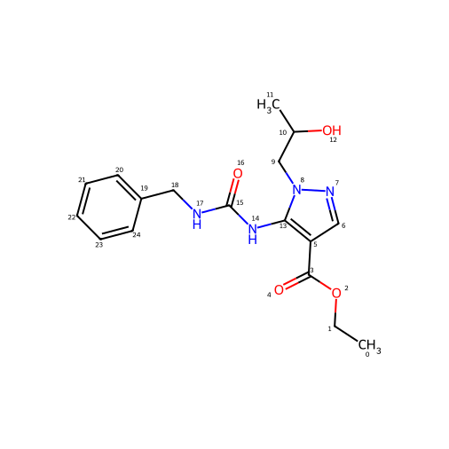 CCOC(=O)c1cnn(CC(C)O)c1NC(=O)NCc1ccccc1